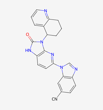 [C-]#[N+]c1ccc2ncn(-c3ccc4[nH]c(=O)n(C5CCCc6ncccc65)c4n3)c2c1